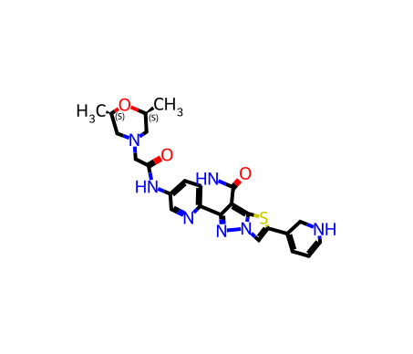 C[C@H]1CN(CC(=O)Nc2cnc3c(c2)[nH]c(=O)c2c3nn3cc(C4=CC=CNC4)sc23)C[C@H](C)O1